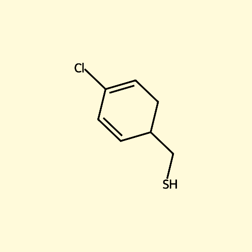 SCC1C=CC(Cl)=CC1